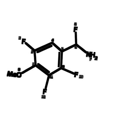 COc1c(F)cc(C(N)F)c(F)c1F